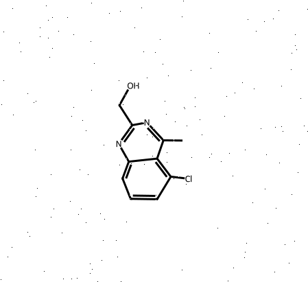 Cc1nc(CO)nc2cccc(Cl)c12